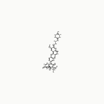 COc1cc2c(Oc3ccc(N(C(=O)C4(C(N)=O)[C@H](C)[C@@H]4C)c4ccc(F)cc4)cc3F)ccnc2cc1OCCCN1CCN(C)CC1